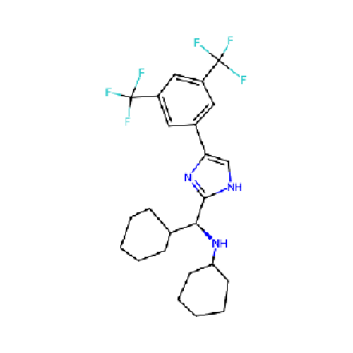 FC(F)(F)c1cc(-c2c[nH]c([C@@H](NC3CCCCC3)C3CCCCC3)n2)cc(C(F)(F)F)c1